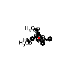 CCOC(=O)c1cc2cc(S(=O)(=O)N(CCc3ccccc3)c3ccccc3N3CCN(C(=O)c4ccc(NC(C)=O)cc4)CC3)ccc2o1